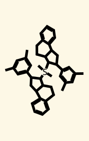 Cc1cc(C)cc(C2CC3c4ccccc4CCC3C2S(C)(C)C2C(c3cc(C)cc(C)c3)CC3c4ccccc4CCC32)c1